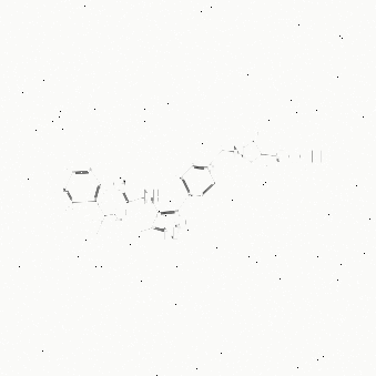 Cc1noc(-c2ccc(CN3CC(C(=O)O)C3)cc2)c1NC(=O)OC(C)c1ccccc1